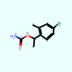 Cc1cc(Br)ccc1C(C)OC(N)=O